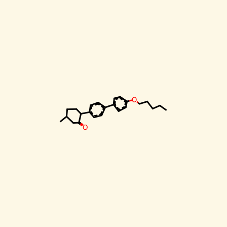 CCCCCOc1ccc(-c2ccc(C3CCC(C)CC3=O)cc2)cc1